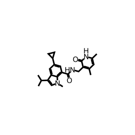 Cc1cc(C)c(CNC(=O)c2cc(C3CC3)cc3c(C(C)C)cn(C)c23)c(=O)[nH]1